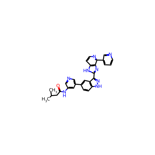 CC(C)CC(=O)Nc1cncc(-c2ccc3[nH]nc(-c4nc5c(-c6cccnc6)nccc5[nH]4)c3c2)c1